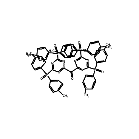 Cc1ccc(P(=O)(c2ccc(C)cc2)c2nc(C(=O)c3nc(P(=O)(c4ccc(C)cc4)c4ccc(C)cc4)nc(P(=O)(c4ccc(C)cc4)c4ccc(C)cc4)n3)nc(P(=O)(c3ccc(C)cc3)c3ccc(C)cc3)n2)cc1